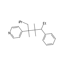 CCC(c1ccccc1)C(C)(C)C(C)(CC(C)C)c1ccncc1